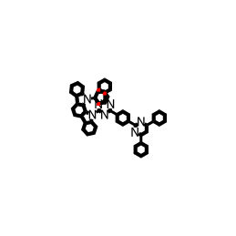 c1ccc(-c2cc(-c3ccccc3)nc(-c3ccc(-c4nc(-c5ccccc5)nc(-n5c6ccccc6c6ccc7c8ccccc8n(-c8ccccc8)c7c65)n4)cc3)n2)cc1